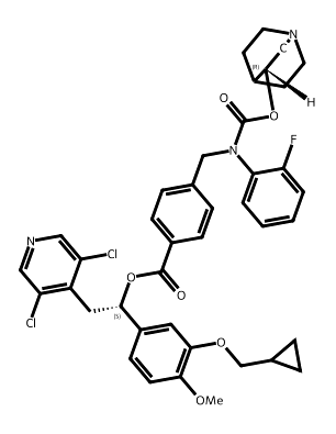 COc1ccc([C@H](Cc2c(Cl)cncc2Cl)OC(=O)c2ccc(CN(C(=O)O[C@H]3CN4CCC3CC4)c3ccccc3F)cc2)cc1OCC1CC1